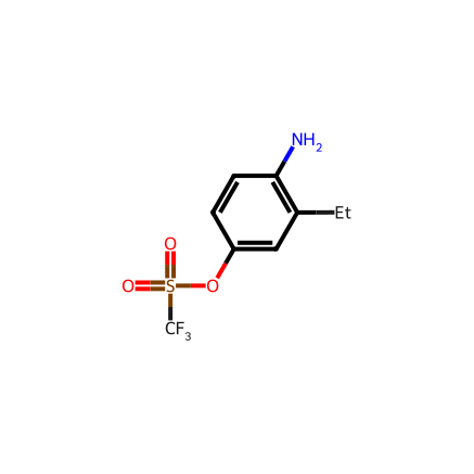 CCc1cc(OS(=O)(=O)C(F)(F)F)ccc1N